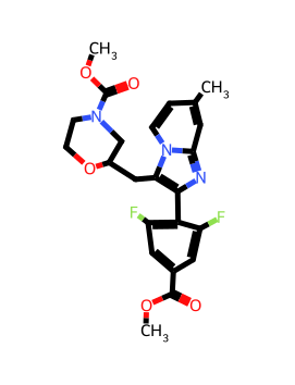 COC(=O)c1cc(F)c(-c2nc3cc(C)ccn3c2CC2CN(C(=O)OC)CCO2)c(F)c1